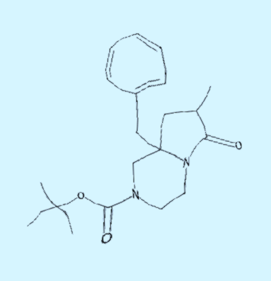 CC1CC2(Cc3ccccc3)CN(C(=O)OC(C)(C)C)CCN2C1=O